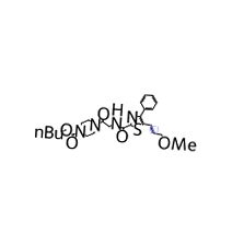 CCCCOC(=O)N1CCN(C(=O)CNC(=O)c2nc(-c3ccccc3)c(/C=C/COC)s2)CC1